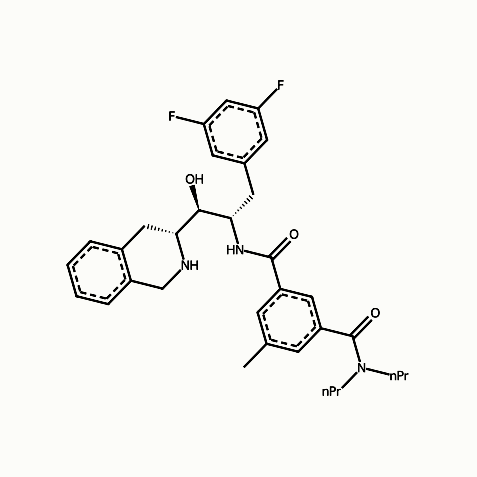 CCCN(CCC)C(=O)c1cc(C)cc(C(=O)N[C@@H](Cc2cc(F)cc(F)c2)[C@H](O)[C@H]2Cc3ccccc3CN2)c1